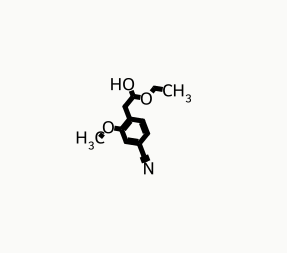 CCOC(O)Cc1ccc(C#N)cc1OC